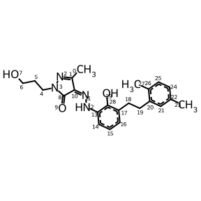 CC1=NN(CCCO)C(=O)C1=NNc1cccc(CCc2cc(C)ccc2C)c1O